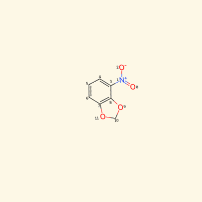 O=[N+]([O-])c1cccc2c1OCO2